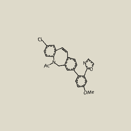 COc1ccc(-c2ccc3c(c2)CN(C(C)=O)c2ccc(Cl)cc2C=C3)c(-c2ncco2)c1